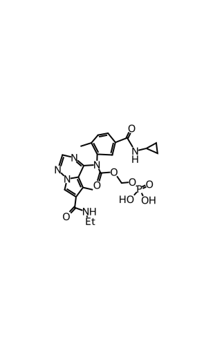 CCNC(=O)c1cn2ncnc(N(C(=O)OCOP(=O)(O)O)c3cc(C(=O)NC4CC4)ccc3C)c2c1C